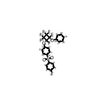 O=S(=O)(c1ccc(F)cc1)c1ccc(OC2(F)C(F)(F)C(F)(F)C2(F)Oc2ccccc2)cc1